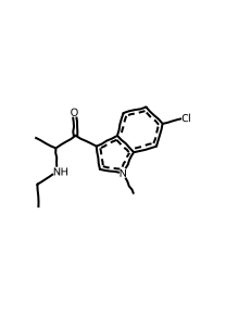 CCNC(C)C(=O)c1cn(C)c2cc(Cl)ccc12